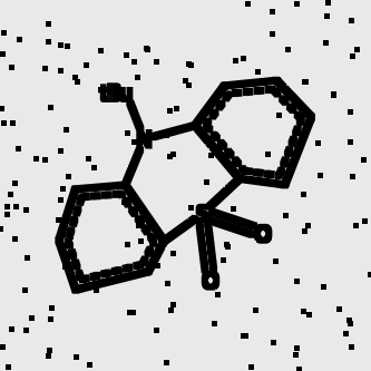 CC(C)(C)N1c2ccccc2S(=O)(=O)c2ccccc21